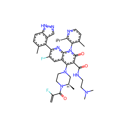 C=C(F)C(=O)N1CCN(c2c(C(=O)NCCN(C)C)c(=O)n(-c3c(C)ccnc3C(C)C)c3nc(-c4c(C)ccc5[nH]ncc45)c(F)cc23)C[C@H]1C